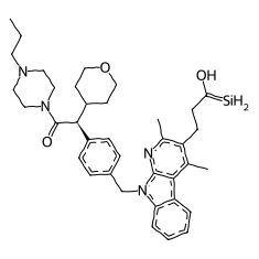 CCCN1CCN(C(=O)[C@H](c2ccc(Cn3c4ccccc4c4c(C)c(CCC(O)=[SiH2])c(C)nc43)cc2)C2CCOCC2)CC1